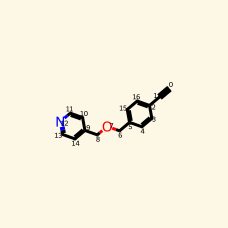 C#Cc1ccc(COCc2ccncc2)cc1